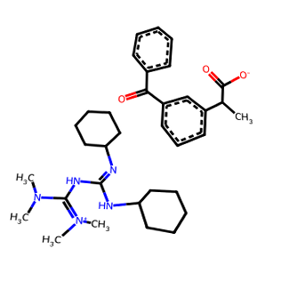 CC(C(=O)[O-])c1cccc(C(=O)c2ccccc2)c1.CN(C)C(NC(=NC1CCCCC1)NC1CCCCC1)=[N+](C)C